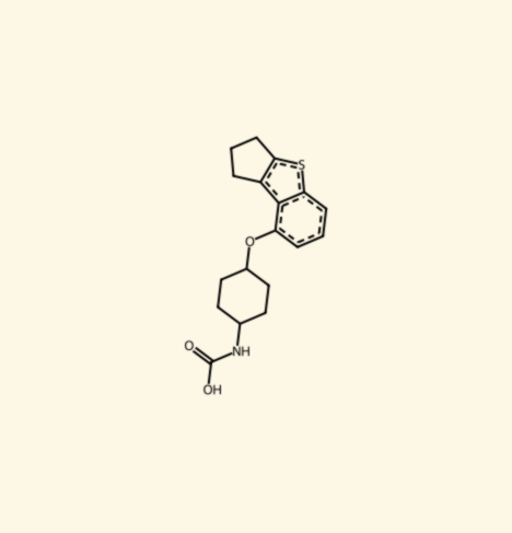 O=C(O)NC1CCC(Oc2cccc3sc4c(c23)CCC4)CC1